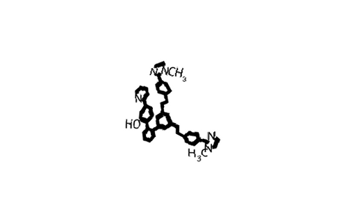 Cn1ccnc1-c1ccc(CCc2cc(CCc3ccc(-c4nccn4C)cc3)cc(-c3ccccc3-c3ccc(-c4ccccn4)cc3O)c2)cc1